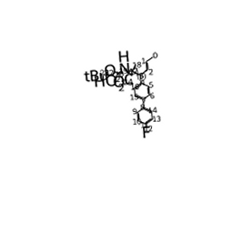 CC=C[C@@H](c1ccc(-c2ccc(F)cc2)cc1)[C@](C)(NC(=O)OC(C)(C)C)C(=O)O